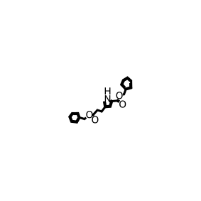 O=C(CCc1c[nH]c(C(=O)OCc2ccccc2)c1)OCc1ccccc1